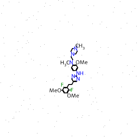 COc1cc(Nc2ncc(CCc3c(F)c(OC)cc(OC)c3F)cn2)ccc1N(C)CCN1CCN(C)CC1